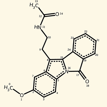 COc1ccc2c(c1)c(CCNC(C)=O)c1n2C(=O)c2ccccc2-1